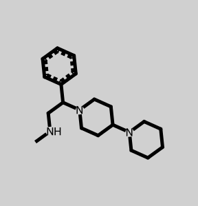 CNCC(c1ccccc1)N1CCC(N2CCCCC2)CC1